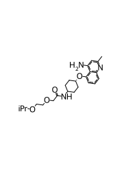 Cc1cc(N)c2c(O[C@H]3CC[C@H](NC(=O)COCCOC(C)C)CC3)cccc2n1